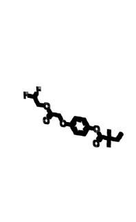 CCC(C)(C)C(=O)Oc1ccc(OCC(=O)OCC(F)F)cc1